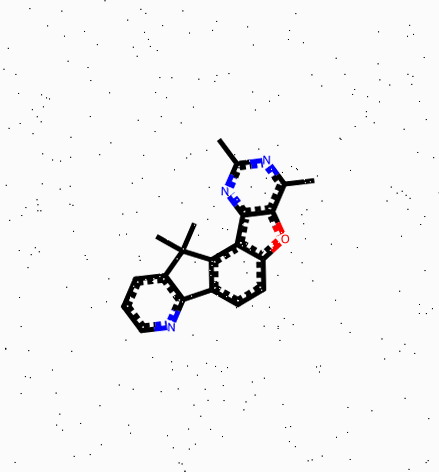 Cc1nc(C)c2oc3ccc4c(c3c2n1)C(C)(C)c1cccnc1-4